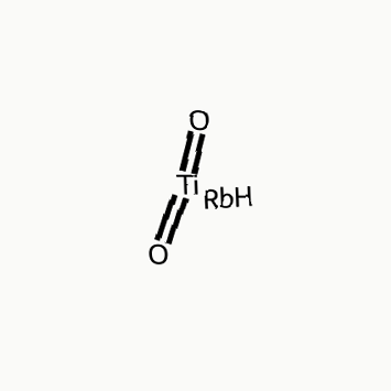 [O]=[Ti]=[O].[RbH]